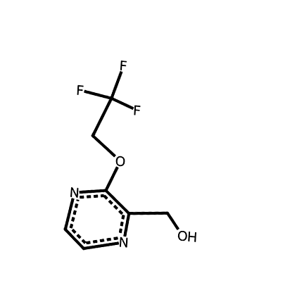 OCc1nccnc1OCC(F)(F)F